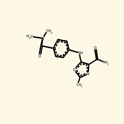 Cc1nc(C(N)=O)c(Nc2ccc(C(=O)N(C)C)cc2)o1